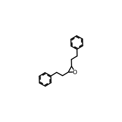 c1ccc(CCC2OC2CCc2ccccc2)cc1